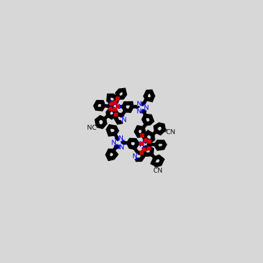 N#Cc1ccc(-c2ccc3c(c2)c2ccccc2n3-c2ccc(-c3nc(-c4ccccc4)nc(-c4cccc(-c5cccc(-c6nc(-c7ccccc7)nc(-c7cccnc7-c7cc(-c8nc(-c9ccccc9)nc(-c9ccccc9)n8)ccc7-n7c8ccc(-c9cccc(C#N)c9)cc8c8cc(-c9cccc(C#N)c9)ccc87)n6)c5)c4)n3)cc2-c2ncccc2-c2nc(-c3ccccc3)nc(-c3ccccc3)n2)cc1